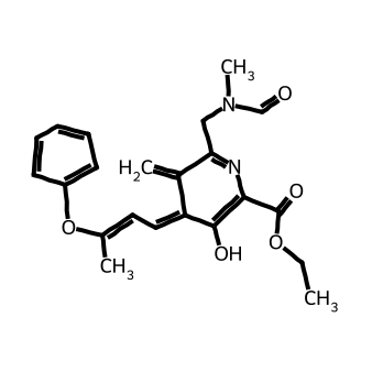 C=c1c(CN(C)C=O)nc(C(=O)OCC)c(O)/c1=C/C=C(\C)Oc1ccccc1